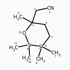 CC1(CC#N)CC[Si](C)(C)[Si](C)(C)O1